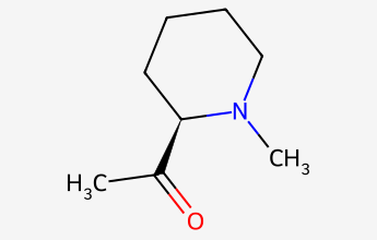 CC(=O)[C@H]1CCCCN1C